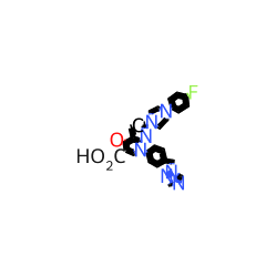 O=C(O)c1cn(-c2ccc(Cn3cncn3)cc2)c2nc(N3CCN(c4ccc(F)cc4)CC3)ccc2c1=O